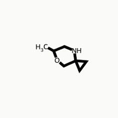 CC1CNC2(CC2)CO1